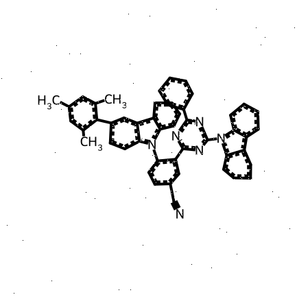 Cc1cc(C)c(-c2ccc3c(c2)c2ccccc2n3-c2ccc(C#N)cc2-c2nc(-c3ccccc3)nc(-n3c4ccccc4c4ccccc43)n2)c(C)c1